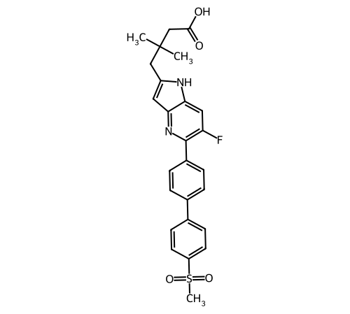 CC(C)(CC(=O)O)Cc1cc2nc(-c3ccc(-c4ccc(S(C)(=O)=O)cc4)cc3)c(F)cc2[nH]1